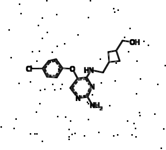 Nc1ncc(Oc2ccc(Cl)cc2)c(NCC2CC(CO)C2)n1